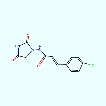 O=C(/C=C/c1ccc(Cl)cc1)NN1CC(=O)NC1=O